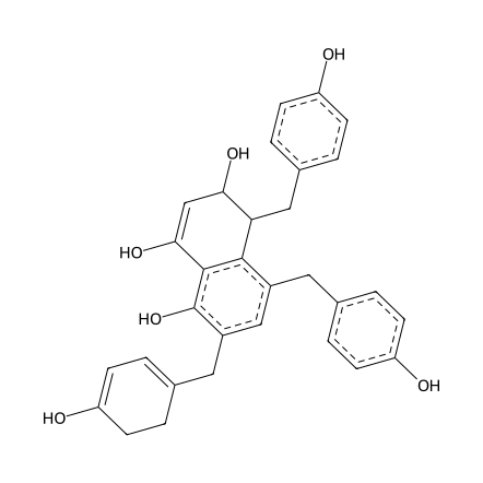 OC1=CC=C(Cc2cc(Cc3ccc(O)cc3)c3c(c2O)C(O)=CC(O)C3Cc2ccc(O)cc2)CC1